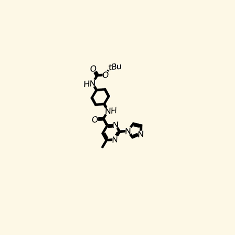 Cc1cc(C(=O)NC2CCC(NC(=O)OC(C)(C)C)CC2)nc(-n2ccnc2)n1